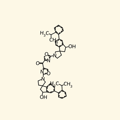 CC(C)c1ccccc1-c1ccc2c(c1)C(O)CC21CCN(c2nc(C(=O)c3coc(N4CCC5(CC(O)c6cc(-c7ccccc7C(C)C)ccc65)C4)n3)co2)C1